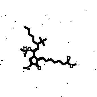 CCCCCC(/C=C(\O[SiH](C)C)C1C=C(SC)C(=O)/C1=C\CCCCCC(=O)OC)C(C)(C)C